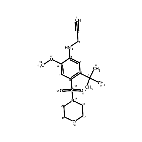 C#CCNc1cc(C(C)(C)C)c(S(=O)(=O)N2CCOCC2)cc1OC